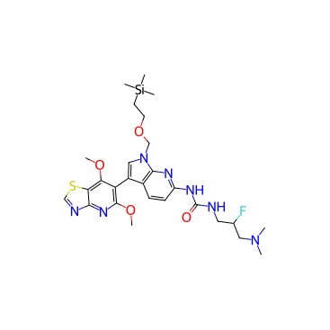 COc1nc2ncsc2c(OC)c1-c1cn(COCC[Si](C)(C)C)c2nc(NC(=O)NCC(F)CN(C)C)ccc12